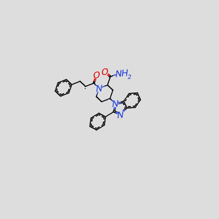 NC(=O)C1CC(n2c(-c3ccccc3)nc3ccccc32)CCN1C(=O)[CH]Cc1ccccc1